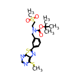 CSc1ncnc2sc(-c3cccc(CN(CCS(C)(=O)=O)C(=O)OC(C)(C)C)c3)nc12